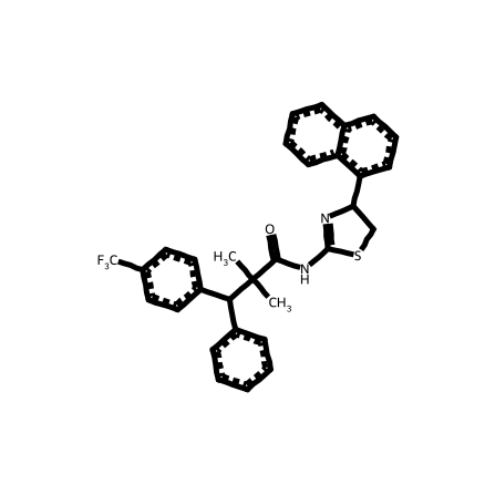 CC(C)(C(=O)NC1=NC(c2cccc3ccccc23)CS1)C(c1ccccc1)c1ccc(C(F)(F)F)cc1